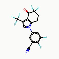 N#Cc1cc(-n2cc(C(F)(F)F)c3c2CCC(F)(F)C3=O)cc(F)c1F